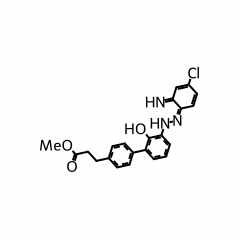 COC(=O)CCc1ccc(-c2cccc(N/N=C3/C=CC(Cl)=CC3=N)c2O)cc1